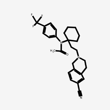 CC(=O)N(c1ccc(C(F)(F)F)cc1)C1(CCN2CCc3cc(C#N)ccc3C2)CCCCC1